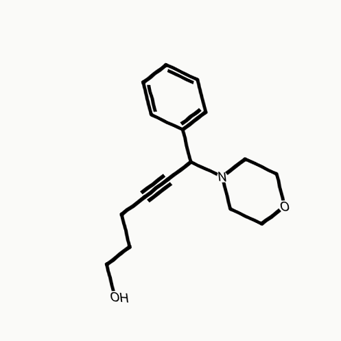 OCCCC#CC(c1ccccc1)N1CCOCC1